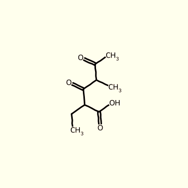 CCC(C(=O)O)C(=O)C(C)C(C)=O